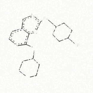 NC1CCC(Nc2ncc3cccc(OC4CCOCC4)c3n2)CC1